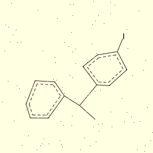 CC(c1ccccc1)c1ccc(I)cc1